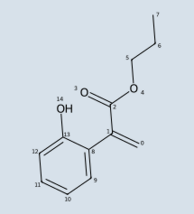 C=C(C(=O)OCCC)c1ccccc1O